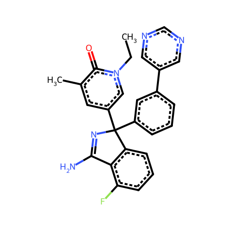 CCn1cc(C2(c3cccc(-c4cncnc4)c3)N=C(N)c3c(F)cccc32)cc(C)c1=O